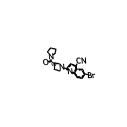 N#Cc1cc(N2CC[C@H](C(=O)N3CCCC3)C2)nc2ccc(Br)cc12